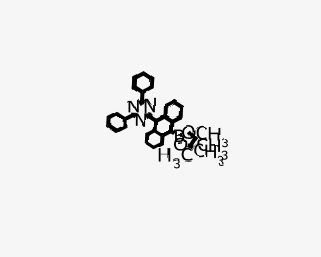 CC1(C)OB(C2C3CCCCC3C(c3nc(C4CCCCC4)nc(C4CCCCC4)n3)C3CCCCC32)OC1(C)C